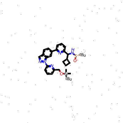 CC(C)(C)[S+]([O-])NC(c1cccc(-c2ccc3cnn(-c4cccc(CO[Si](C)(C)C(C)(C)C)n4)c3c2)n1)C1CCC1